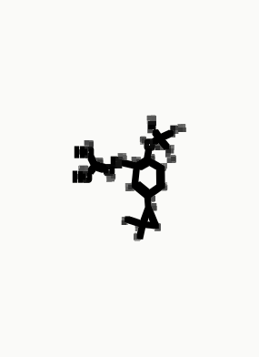 CC1(C)CC1c1ccc(OC(F)(F)F)c(Br)c1.O=C(O)O